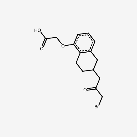 O=C(O)COc1cccc2c1CCC(CC(=O)CBr)C2